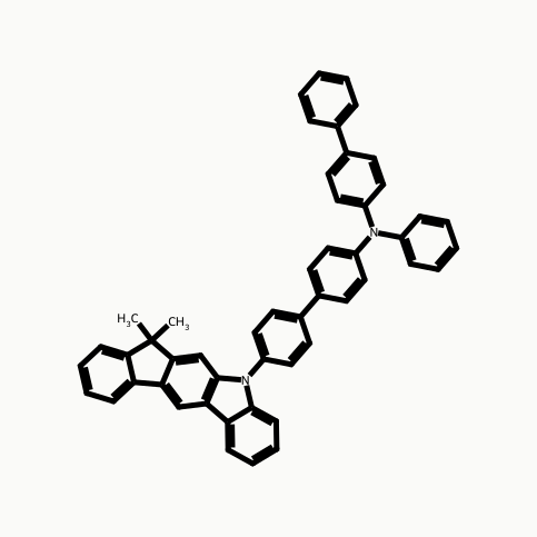 CC1(C)c2ccccc2-c2cc3c4ccccc4n(-c4ccc(-c5ccc(N(c6ccccc6)c6ccc(-c7ccccc7)cc6)cc5)cc4)c3cc21